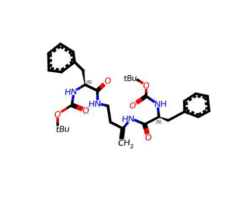 C=C(CCNC(=O)[C@H](Cc1ccccc1)NC(=O)OC(C)(C)C)NC(=O)[C@H](Cc1ccccc1)NC(=O)OC(C)(C)C